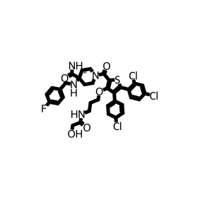 NC(=O)C1(NCc2ccc(F)cc2)CCN(C(=O)c2sc(-c3ccc(Cl)cc3Cl)c(C3=CCC(Cl)C=C3)c2OCCCNC(=O)CO)CC1